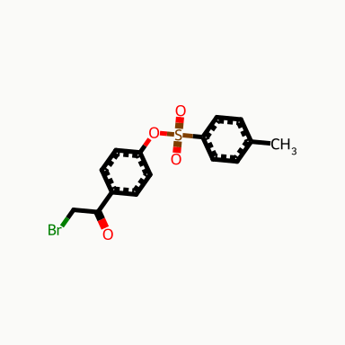 Cc1ccc(S(=O)(=O)Oc2ccc(C(=O)CBr)cc2)cc1